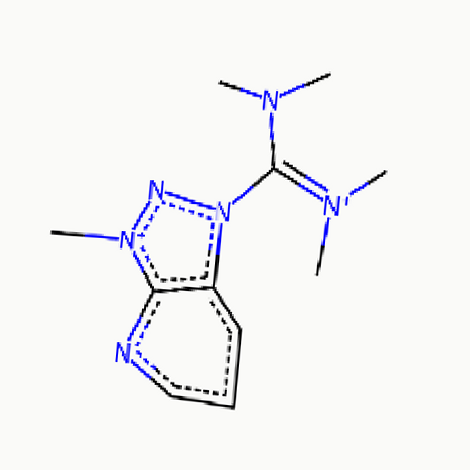 CN(C)C(n1n[n+](C)c2ncccc21)=[N+](C)C